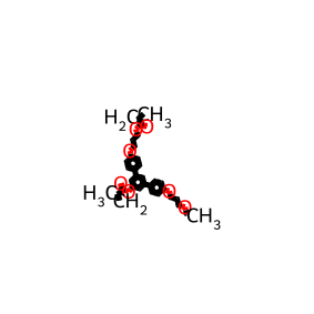 C=C(C)C(=O)OCCCOc1ccc(-c2cc(OC(=O)C(=C)C)cc(-c3ccc(OCCCOCC)cc3)c2)cc1